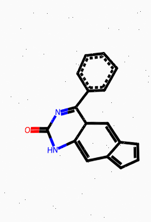 O=C1N=C(c2ccccc2)C2C=C3C=CC=C3C=C2N1